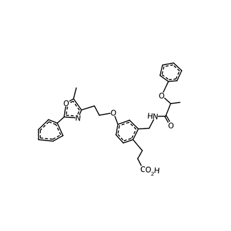 Cc1oc(-c2ccccc2)nc1CCOc1ccc(CCC(=O)O)c(CNC(=O)C(C)Oc2ccccc2)c1